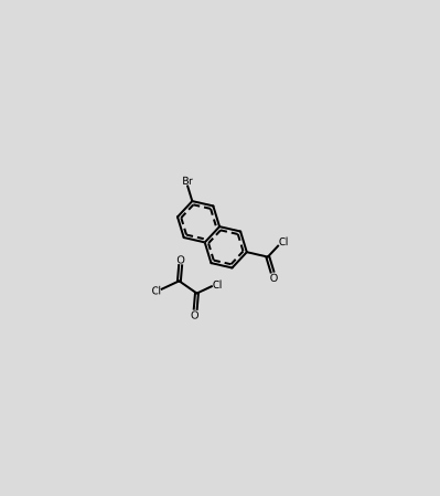 O=C(Cl)C(=O)Cl.O=C(Cl)c1ccc2ccc(Br)cc2c1